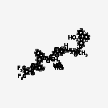 CN(CCN1CCC(N(C(=O)O)c2ccccc2-c2ccccc2)CC1)C(=O)CCCCNc1ccc(C(=O)N(C)CCCN(C)C(=O)CO[C@H]2Cc3ccccc3C23CCN(CC[C@]2(c4ccc(F)cc4)CN(C(=O)c4cc(C(F)(F)F)cc(C(F)(F)F)c4)CO2)CC3)cc1.Cl.Cl.Cl